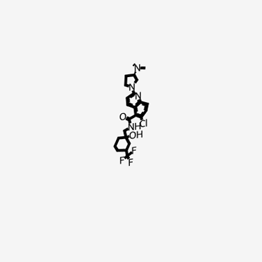 CN(C)[C@@H]1CCN(c2ccc3c(C(=O)NCC4(O)CCCC(C(F)(F)F)C4)c(Cl)ccc3n2)C1